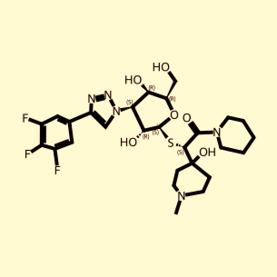 CN1CCC(O)([C@H](S[C@@H]2O[C@H](CO)[C@H](O)[C@H](n3cc(-c4cc(F)c(F)c(F)c4)nn3)[C@H]2O)C(=O)N2CCCCC2)CC1